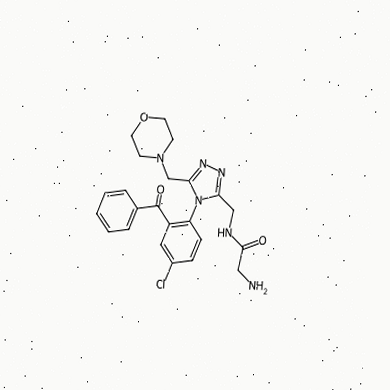 NCC(=O)NCc1nnc(CN2CCOCC2)n1-c1ccc(Cl)cc1C(=O)c1ccccc1